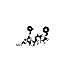 CSCC[C@H](NC(=O)OCC1=CC=CC1)C(=O)N[C@@H](CC(C)C)[C@@H](O)C[C@@H](C)C(=O)N[C@H](C(=O)NCc1ccccc1)C(C)C